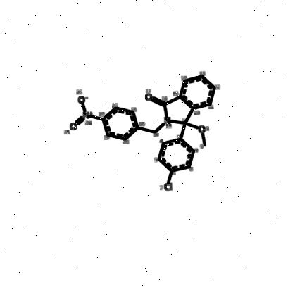 COC1(c2ccc(Cl)cc2)c2ccccc2C(=O)N1Cc1ccc([N+](=O)[O-])cc1